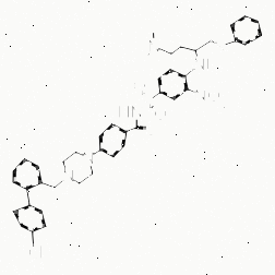 CN(C)CCC(CSc1ccccc1)Nc1ccc(S(=O)(=O)NC(=O)c2ccc(N3CCN(Cc4ccccc4-c4ccc(Cl)cc4)CC3)cc2)cc1[N+](=O)[O-]